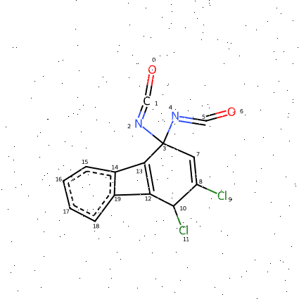 O=C=NC1(N=C=O)C=C(Cl)C(Cl)C2=C1c1ccccc12